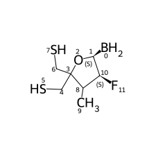 B[C@@H]1OC(CS)(CS)C(C)[C@@H]1F